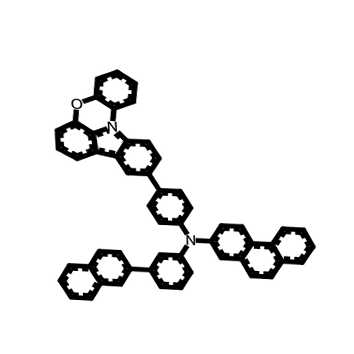 c1cc(-c2ccc3ccccc3c2)cc(N(c2ccc(-c3ccc4c(c3)c3cccc5c3n4-c3ccccc3O5)cc2)c2ccc3c(ccc4ccccc43)c2)c1